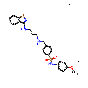 COc1ccc(NS(=O)(=O)c2ccc(CNCCCNc3nsc4ccccc34)cc2)cc1